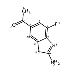 CC(=O)c1cc(F)c2nc(N)sc2c1